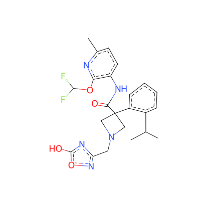 Cc1ccc(NC(=O)C2(c3ccccc3C(C)C)CN(Cc3noc(O)n3)C2)c(OC(F)F)n1